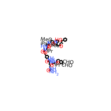 CCC(C)C(C(CC(=O)N1CCCC1C(OC)C(C)C(=O)CC(C)C(O)c1ccccc1)OC)N(C)C(=O)C(NC(=O)C(C(C)C)N(C)C(=O)OCc1ccc(NC(=O)C(CCCNC(N)=O)NC(=O)C(NC(=O)CCc2ccc(C=O)c(C=O)c2)C(C)C)cc1)C(C)C